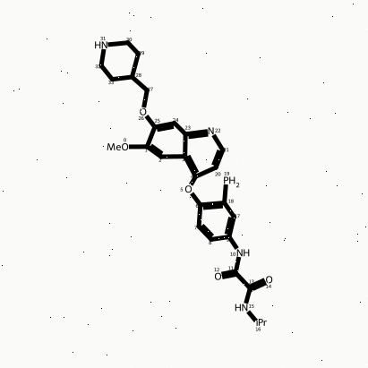 COc1cc2c(Oc3ccc(NC(=O)C(=O)NC(C)C)cc3P)ccnc2cc1OCC1CCNCC1